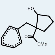 COC(=O)C1(Cc2ccccc2)CCCC1O